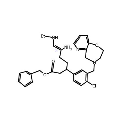 CCN/C=C(\N)CCC(CC(=O)OCc1ccccc1)c1ccc(Cl)c(CN2CCOc3cccnc3C2)c1